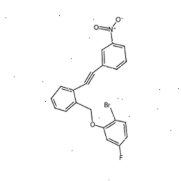 O=[N+]([O-])c1cccc(C#Cc2ccccc2COc2cc(F)ccc2Br)c1